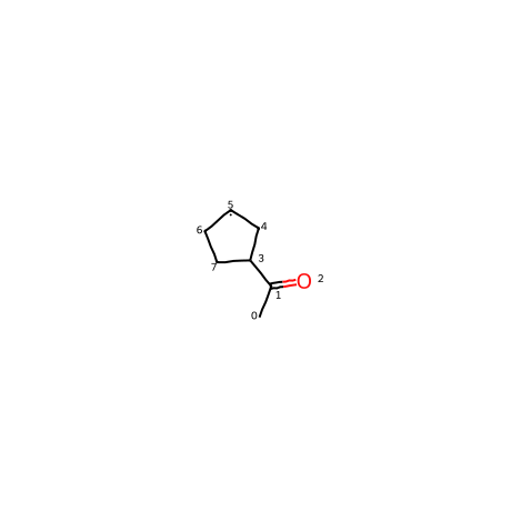 CC(=O)C1C[CH]CC1